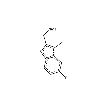 CNCc1sc2ccc(F)cc2c1C